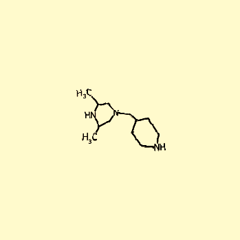 CC1CN(CC2CCNCC2)CC(C)N1